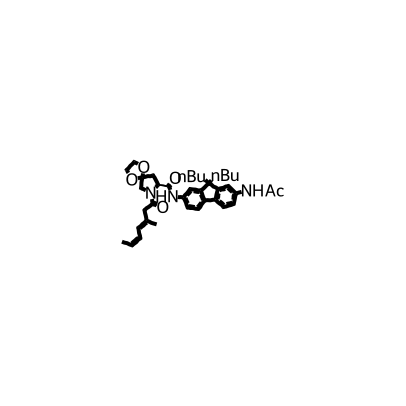 C/C=C\C=C(/C)CC(=O)N1CC2(C[C@H]1C(=O)Nc1ccc3c(c1)C(CCCC)(CCCC)c1cc(NC(C)=O)ccc1-3)OCCO2